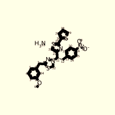 COc1cccc(CC2=NN([C@@H](Cc3ccc([N+](=O)[O-])cc3)c3csc(-c4cccs4)n3)CS2)c1.N